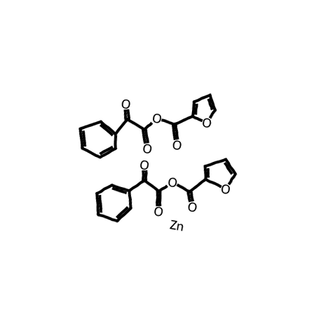 O=C(OC(=O)c1ccco1)C(=O)c1ccccc1.O=C(OC(=O)c1ccco1)C(=O)c1ccccc1.[Zn]